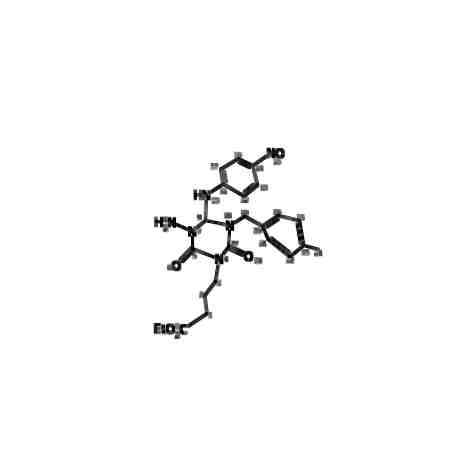 CCOC(=O)CCCN1C(=O)N(N)C(Nc2ccc(N=O)cc2)N(Cc2ccc(C)cc2)C1=O